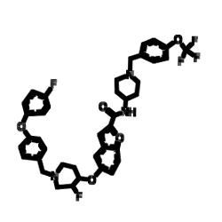 O=C(NC1CCN(Cc2ccc(OC(F)(F)F)cc2)CC1)c1cc2cc(OC3CCN(Cc4ccc(Oc5ccc(F)cc5)cc4)CC3F)ccc2o1